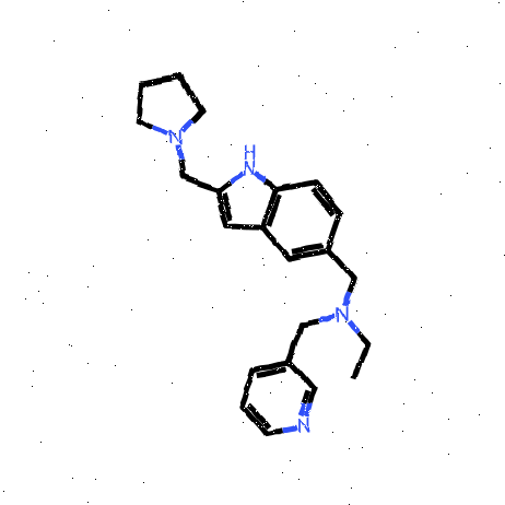 CCN(Cc1cccnc1)Cc1ccc2[nH]c(CN3CCCC3)cc2c1